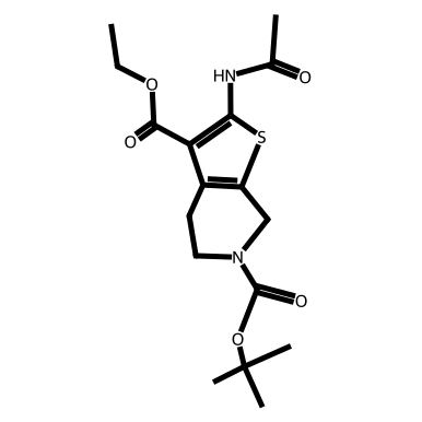 CCOC(=O)c1c(NC(C)=O)sc2c1CCN(C(=O)OC(C)(C)C)C2